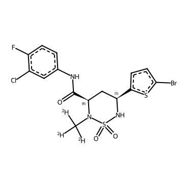 [2H]C([2H])([2H])N1[C@@H](C(=O)Nc2ccc(F)c(Cl)c2)C[C@@H](c2ccc(Br)s2)NS1(=O)=O